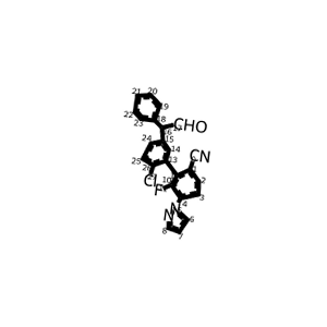 N#Cc1ccc(-n2cccn2)c(F)c1-c1cc(C(C=O)c2ccccc2)ccc1Cl